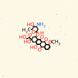 COc1cccc2c1C(=O)c1c(O)c3c(c(O)c1C2=O)C[C@@](O)(C(=O)CO)C[C@@H]3O[C@@H]1CC(N)[C@H](O)C(C)O1